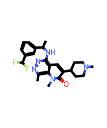 Cc1nnc(NC(C)c2cccc(C(F)F)c2)c2cc(C3CCN(C)CC3)c(=O)n(C)c12